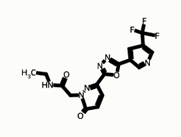 CCNC(=O)Cn1nc(-c2nnc(-c3cncc(C(F)(F)F)c3)o2)ccc1=O